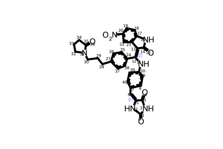 O=C1NC(=O)/C(=C\c2ccc(N/C(=C3\C(=O)Nc4ccc([N+](=O)[O-])cc43)c3ccc(CCCN4CCCC4=O)cc3)cc2)N1